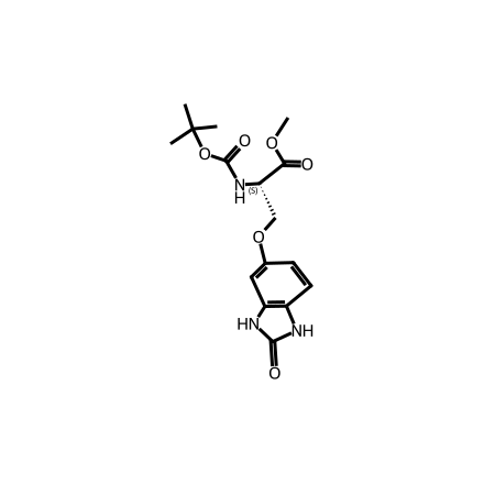 COC(=O)[C@H](COc1ccc2[nH]c(=O)[nH]c2c1)NC(=O)OC(C)(C)C